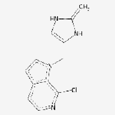 C=C1NC=C(Cn2ccc3ccnc(Cl)c32)N1